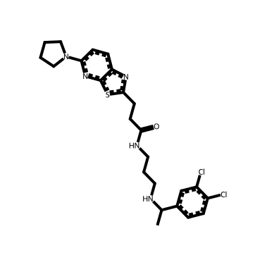 CC(NCCCNC(=O)CCc1nc2ccc(N3CCCC3)nc2s1)c1ccc(Cl)c(Cl)c1